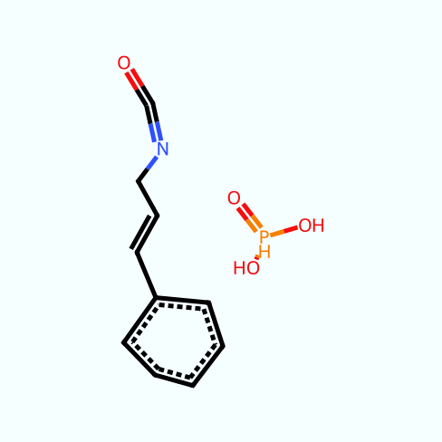 O=C=NCC=Cc1ccccc1.O=[PH](O)O